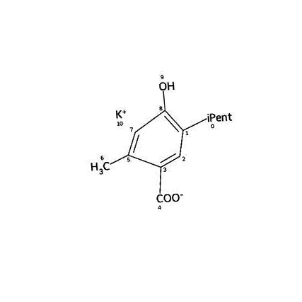 CCCC(C)c1cc(C(=O)[O-])c(C)cc1O.[K+]